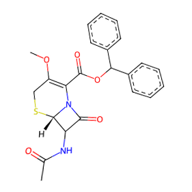 COC1=C(C(=O)OC(c2ccccc2)c2ccccc2)N2C(=O)C(NC(C)=O)[C@@H]2SC1